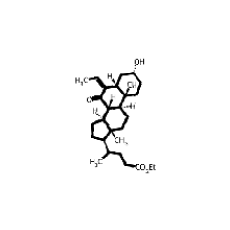 CC=C1C(=O)[C@@H]2[C@H](CC[C@]3(C)[C@@H](C(C)CCC(=O)OCC)CC[C@@H]23)[C@@]2(C)CC[C@@H](O)C[C@@H]12